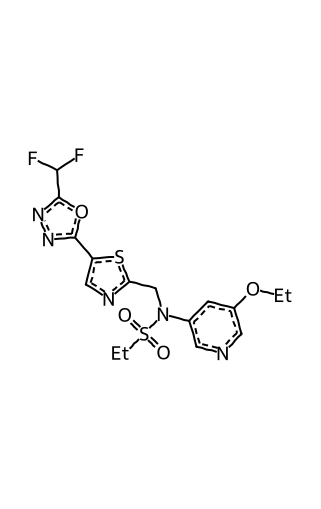 CCOc1cncc(N(Cc2ncc(-c3nnc(C(F)F)o3)s2)S(=O)(=O)CC)c1